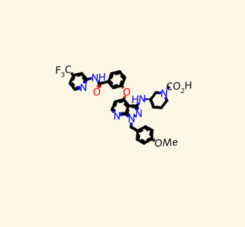 COc1ccc(Cn2nc(N[C@@H]3CCCN(C(=O)O)C3)c3c(Oc4cccc(C(=O)Nc5cc(C(F)(F)F)ccn5)c4)ccnc32)cc1